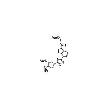 CNc1cc(-c2nc(-c3cccc4c3CC[C@@H]4NCCOC)no2)ccc1OC(C)C